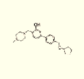 CN1CCN(Cc2ccc(-c3ccc(COC4CCCC4)cc3)cc2O)CC1